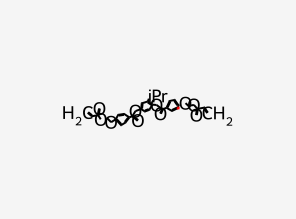 C=CC(=O)OCOc1ccc(C(=O)Oc2ccc(OC(=O)c3ccc(OCOC(=O)C=C)cc3)c(C(C)C)c2)cc1